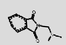 CN(C)CN1C(=O)c2ccccc2C1=O